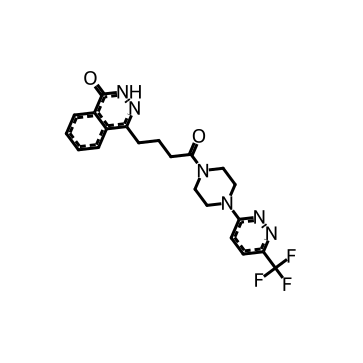 O=C(CCCc1n[nH]c(=O)c2ccccc12)N1CCN(c2ccc(C(F)(F)F)nn2)CC1